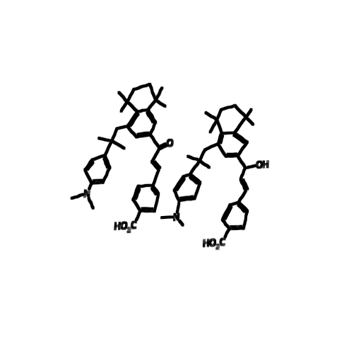 CN(C)c1ccc(C(C)(C)Cc2cc(C(=O)C=Cc3ccc(C(=O)O)cc3)cc3c2C(C)(C)CCC3(C)C)cc1.CN(C)c1ccc(C(C)(C)Cc2cc(C(O)C=Cc3ccc(C(=O)O)cc3)cc3c2C(C)(C)CCC3(C)C)cc1